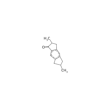 CC1Cc2cc3c(cc2C1)C(=O)C(C)C3